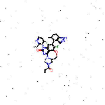 C=CC(=O)N1CCN2c3nc(=O)n(-c4c(C)ccnc4C(C)C)c4c(F)c(-c5c(C)ccc6[nH]ncc56)c(F)c(c34)OCCC2C1